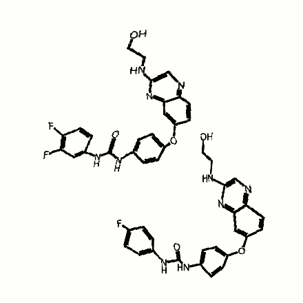 O=C(Nc1ccc(F)cc1)Nc1ccc(Oc2ccc3ncc(NCCO)nc3c2)cc1.O=C(Nc1ccc(Oc2ccc3ncc(NCCO)nc3c2)cc1)Nc1ccc(F)c(F)c1